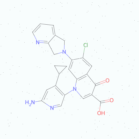 Nc1cc(C2CC2)c(-n2cc(C(=O)O)c(=O)c3cc(Cl)c(N4Cc5cccnc5C4)cc32)cn1